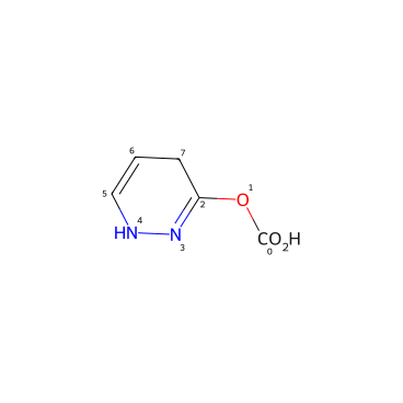 O=C(O)OC1=NNC=CC1